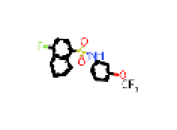 O=S(=O)(Nc1cccc(OC(F)(F)F)c1)c1ccc(F)c2ccccc12